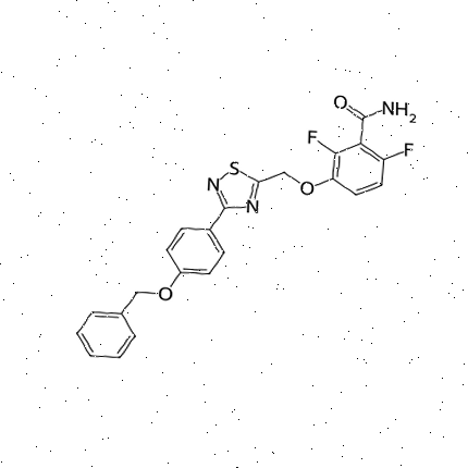 NC(=O)c1c(F)ccc(OCc2nc(-c3ccc(OCc4ccccc4)cc3)ns2)c1F